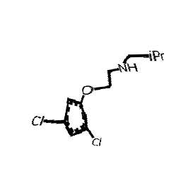 CC(C)CNCCOc1cc(Cl)cc(Cl)c1